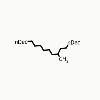 CCCCCCCCCCCCCCCCC(C)CCCCCCCCCCCC